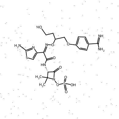 CC1(C)[C@H](NC(=O)/C(=N\OC(CCO)COc2ccc(C(=N)N)cc2)c2csc(N)n2)C(=O)N1OS(=O)(=O)O